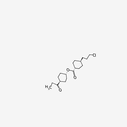 CCC(=O)[C@H]1CC[C@H](OC(=O)[C@H]2CC[C@H](CCCCl)CC2)CC1